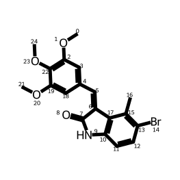 COc1cc(C=C2C(=O)Nc3ccc(Br)c(C)c32)cc(OC)c1OC